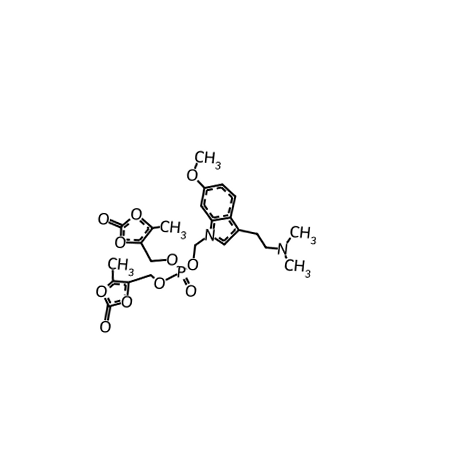 COc1ccc2c(CCN(C)C)cn(COP(=O)(OCc3oc(=O)oc3C)OCc3oc(=O)oc3C)c2c1